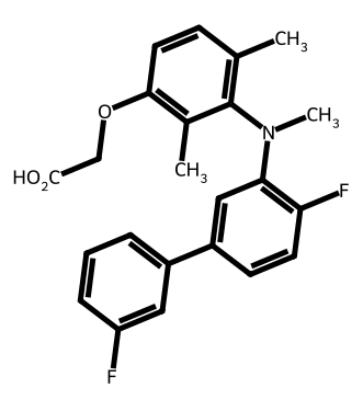 Cc1ccc(OCC(=O)O)c(C)c1N(C)c1cc(-c2cccc(F)c2)ccc1F